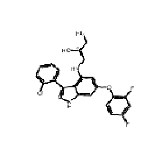 OC[C@H](O)CNc1cc(Oc2ccc(F)cc2F)cc2[nH]nc(-c3ccccc3Cl)c12